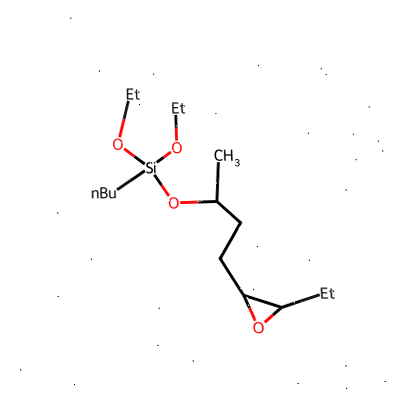 CCCC[Si](OCC)(OCC)OC(C)CCC1OC1CC